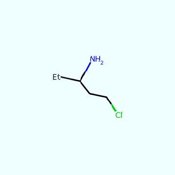 CCC(N)CCCl